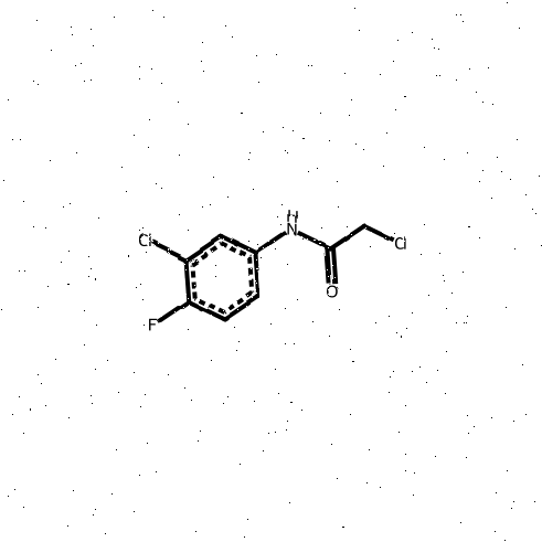 O=C(CCl)Nc1ccc(F)c(Cl)c1